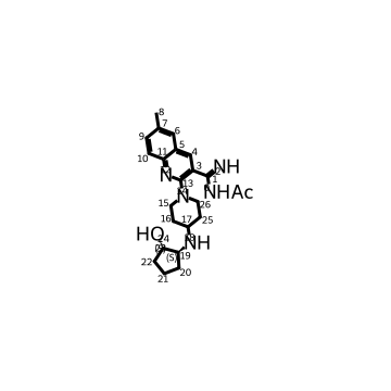 CC(=O)NC(=N)c1cc2cc(C)ccc2nc1N1CCC(N[C@H]2CCC[C@@H]2O)CC1